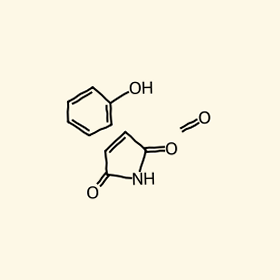 C=O.O=C1C=CC(=O)N1.Oc1ccccc1